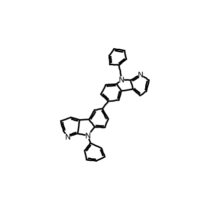 c1ccc(-n2c3ccc(-c4ccc5c(c4)c4cccnc4n5-c4ccccc4)cc3c3cccnc32)cc1